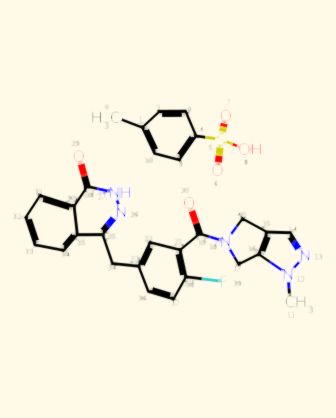 Cc1ccc(S(=O)(=O)O)cc1.Cn1ncc2c1CN(C(=O)c1cc(Cc3n[nH]c(=O)c4ccccc34)ccc1F)C2